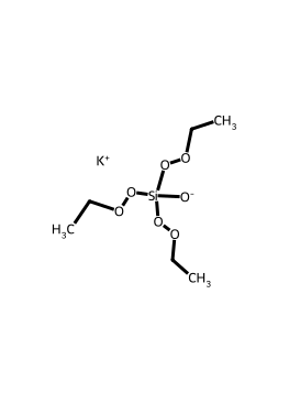 CCOO[Si]([O-])(OOCC)OOCC.[K+]